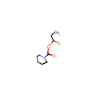 CCC(Cl)OC(=O)N1CCCCC1